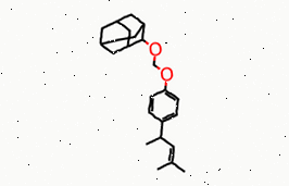 CC(C)=CC(C)c1ccc(OCOC2C3CC4CC(C3)CC2C4)cc1